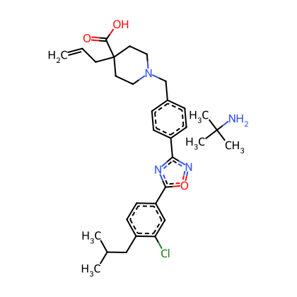 C=CCC1(C(=O)O)CCN(Cc2ccc(-c3noc(-c4ccc(CC(C)C)c(Cl)c4)n3)cc2)CC1.CC(C)(C)N